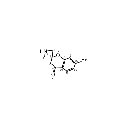 O=C1CC2(CNC2)Oc2cc(F)ccc21